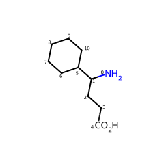 NC(CCC(=O)O)C1CCCCC1